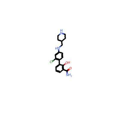 NC(=O)c1cccc(-c2ccc(NCC3CCNCC3)cc2Cl)c1O